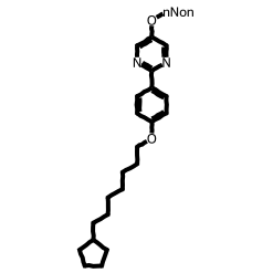 CCCCCCCCCOc1cnc(-c2ccc(OCCCCCCCC3CCCC3)cc2)nc1